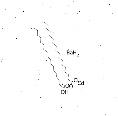 CCCCCCCCCCCCCCCCCC(=O)O.CCCCCCCCCCCCCCCCCC(=O)[O][Cd].[BaH2]